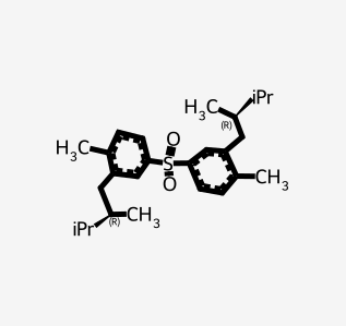 Cc1ccc(S(=O)(=O)c2ccc(C)c(C[C@@H](C)C(C)C)c2)cc1C[C@@H](C)C(C)C